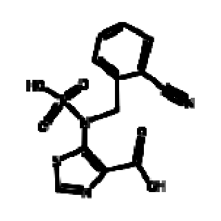 N#Cc1ccccc1CN(c1scnc1C(=O)O)S(=O)(=O)O